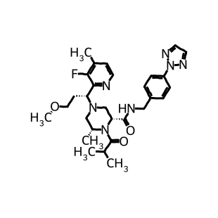 COCC[C@H](c1nccc(C)c1F)N1C[C@@H](C)N(C(=O)C(C)C)[C@@H](C(=O)NCc2ccc(-n3nccn3)cc2)C1